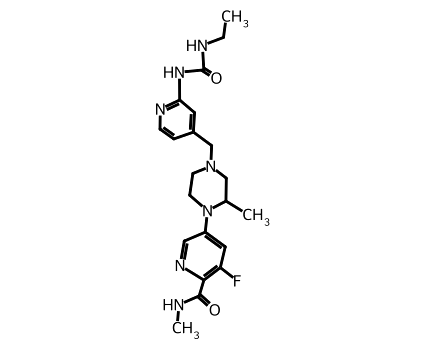 CCNC(=O)Nc1cc(CN2CCN(c3cnc(C(=O)NC)c(F)c3)C(C)C2)ccn1